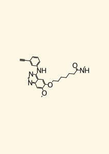 C#Cc1cccc(Nc2ncnc3cc(OC)c(OCCCCCCC(=O)NC)cc23)c1